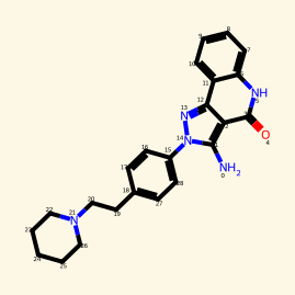 Nc1c2c(=O)[nH]c3ccccc3c2nn1-c1ccc(CCN2CCCCC2)cc1